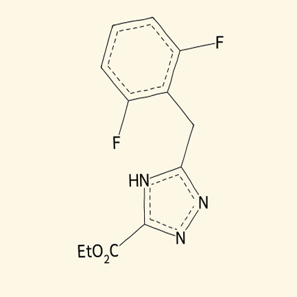 CCOC(=O)c1nnc(Cc2c(F)cccc2F)[nH]1